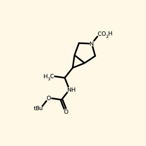 CC(NC(=O)OC(C)(C)C)C1C2CN(C(=O)O)CC21